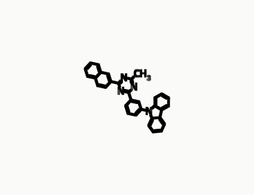 Cc1nc(-c2cccc(-n3c4ccccc4c4ccccc43)c2)nc(-c2ccc3ccccc3c2)n1